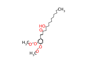 CCCCCCCCCC(O)CC(=O)C=Cc1ccc(OCOC)c(OCOC)c1